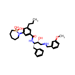 CCCc1cc(C(=O)N[C@@H](Cc2ccccc2)[C@H](O)CNCc2cccc(OC)c2)cc(N2CCCCCS2(O)O)c1